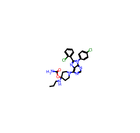 CCCNC1(OC(N)=O)CCN(c2ncnc3c2nc(-c2ccccc2Cl)n3-c2ccc(Cl)cc2)CC1